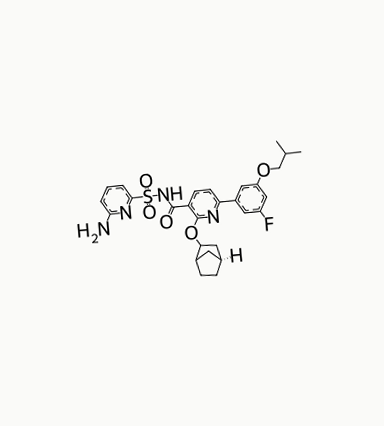 CC(C)COc1cc(F)cc(-c2ccc(C(=O)NS(=O)(=O)c3cccc(N)n3)c(OC3C[C@H]4CCC3C4)n2)c1